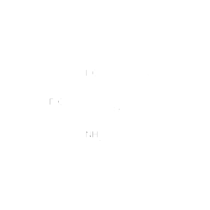 Cl.N[C@@H](COC1CC1)C(F)(F)F